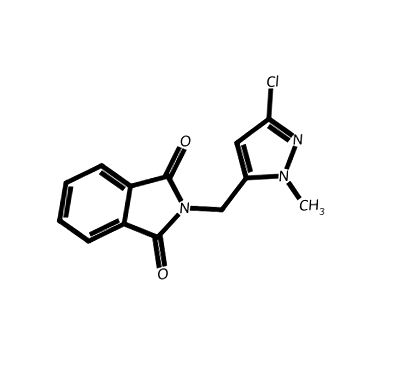 Cn1nc(Cl)cc1CN1C(=O)c2ccccc2C1=O